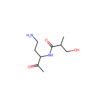 CC(=O)C(CCN)NC(=O)C(C)CO